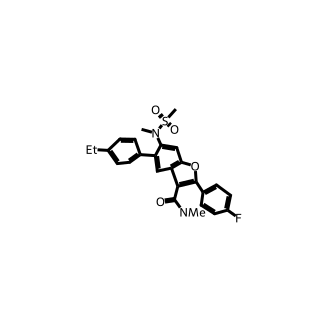 CCc1ccc(-c2cc3c(C(=O)NC)c(-c4ccc(F)cc4)oc3cc2N(C)S(C)(=O)=O)cc1